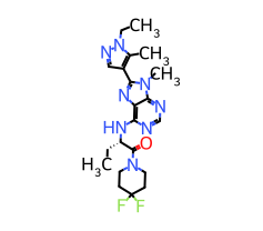 CC[C@H](Nc1ncnc2c1nc(-c1cnn(CC)c1C)n2C)C(=O)N1CCC(F)(F)CC1